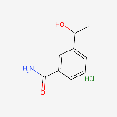 CC(O)c1cccc(C(N)=O)c1.Cl